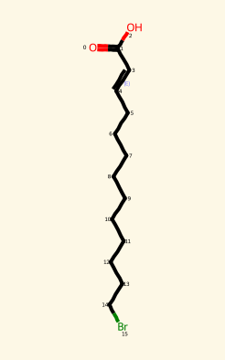 O=C(O)/C=C/CCCCCCCCCCBr